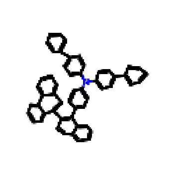 c1ccc(-c2ccc(N(c3ccc(-c4ccccc4)cc3)c3ccc(-c4c(-c5cc6ccccc6c6ccccc56)ccc5ccccc45)cc3)cc2)cc1